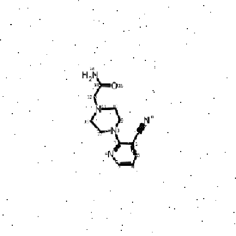 N#Cc1cccnc1N1CCN(CC(N)=O)CC1